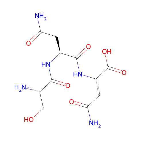 NC(=O)C[C@H](NC(=O)[C@H](CC(N)=O)NC(=O)[C@@H](N)CO)C(=O)O